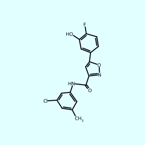 Cc1cc(Cl)cc(NC(=O)c2cc(-c3ccc(F)c(O)c3)on2)c1